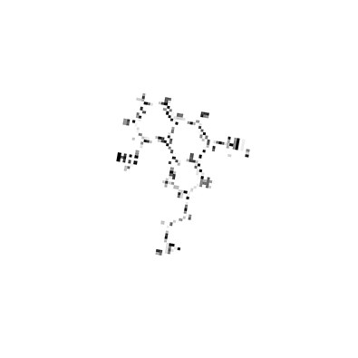 CC(C)CCn1cc2c(n1)c(N)nc1cccc(O)c12